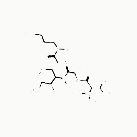 CCCCN(C)C(=O)C[C@@H](OC)C([C@@H](C)CC)N(C)C(=O)[C@H](C)NC(=O)[C@H](C(C)C)N(C)C